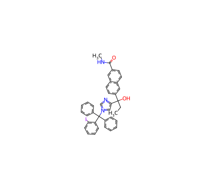 CCC(O)(c1ccc2cc(C(=O)NC)ccc2c1)c1cn(C(c2ccccc2)(c2ccccc2)c2ccccc2I)cn1